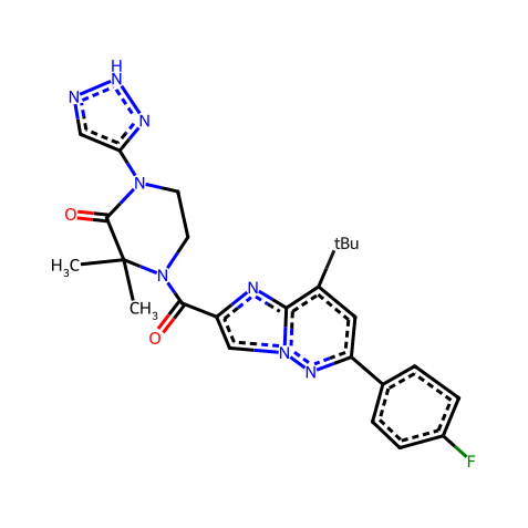 CC(C)(C)c1cc(-c2ccc(F)cc2)nn2cc(C(=O)N3CCN(c4cn[nH]n4)C(=O)C3(C)C)nc12